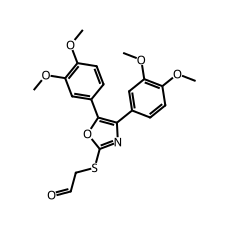 COc1ccc(-c2nc(SCC=O)oc2-c2ccc(OC)c(OC)c2)cc1OC